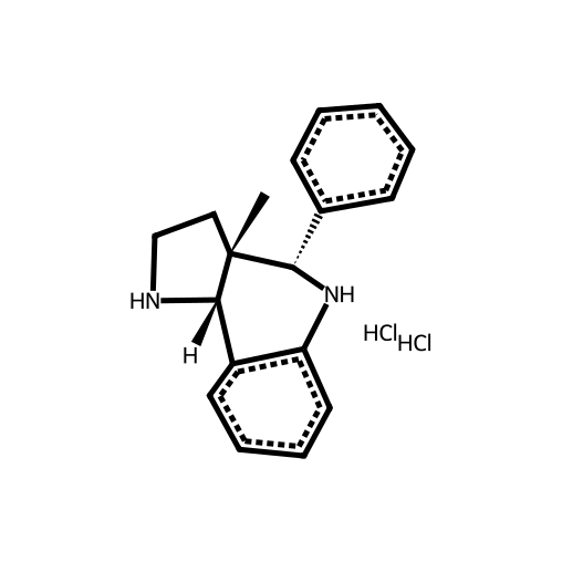 C[C@]12CCN[C@H]1c1ccccc1N[C@H]2c1ccccc1.Cl.Cl